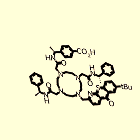 C[C@H](NC(=O)CN1CCN(CC(=O)N[C@@H](C)c2ccccc2)CCN(Cc2ccc3c(=O)c4cc(C(C)(C)C)ccc4sc3n2)CCN(CC(=O)N[C@@H](C)c2ccccc2)CC1)c1ccc(C(=O)O)cc1